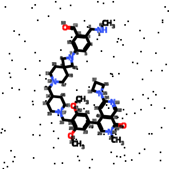 CNCc1ccc(N2CC3(CCN(CC4CCN(Cc5c(OC)cc(-c6cn(C)c(=O)c7cnc(N8CCC8)cc67)cc5OC)CC4)CC3)C2)cc1C=O